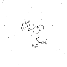 CC(C)OC[C@@H]1C[C@@H](OC(C)(C)C(F)(F)F)CN2CCCC12